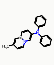 CC1=CB2C=CC(N(c3ccccc3)c3ccccc3)=CN2C=C1